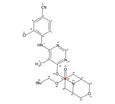 Cc1c(Nc2ccc(C#N)cc2Cl)ncnc1OC1CC2COCC(C1)N2C(=O)OCC(C)(C)C